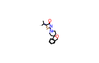 [CH2]/C(C)=C1\SC(N2CCC3(CC2)OCc2ccccc23)=NC1=O